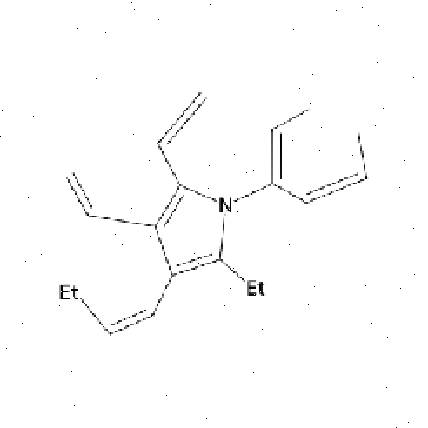 C=Cc1c(/C=C\CC)c(CC)n(C(/C=C\C)=C/C)c1C=C